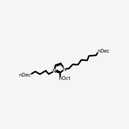 CCCCCCCCCCCCCCCCCn1cc[n+](CCCCCCCCCCCCCC)c1CCCCCCCC